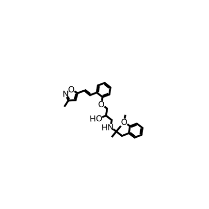 COc1ccccc1CC(C)(C)NCC(O)COc1ccccc1C=Cc1cc(C)no1